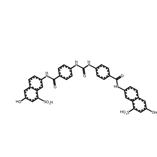 O=C(Nc1ccc(C(=O)Nc2ccc3cc(O)cc(S(=O)(=O)O)c3c2)cc1)Nc1ccc(C(=O)Nc2ccc3cc(O)cc(S(=O)(=O)O)c3c2)cc1